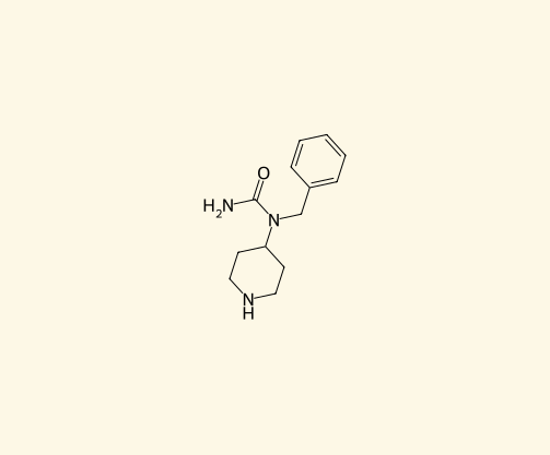 NC(=O)N(Cc1ccccc1)C1CCNCC1